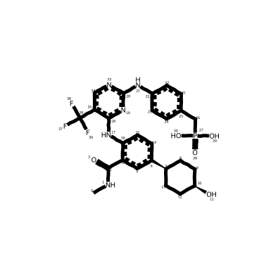 CNC(=O)c1cc([C@H]2CC[C@@H](O)CC2)ccc1Nc1nc(Nc2ccc(CP(=O)(O)O)cc2)ncc1C(F)(F)F